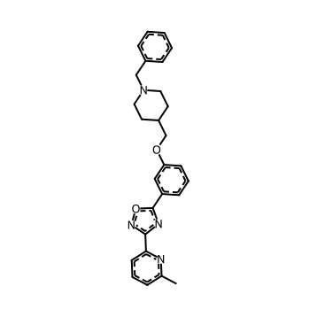 Cc1cccc(-c2noc(-c3cccc(OCC4CCN(Cc5ccccc5)CC4)c3)n2)n1